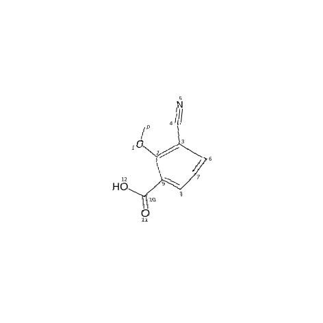 COc1c(C#N)cccc1C(=O)O